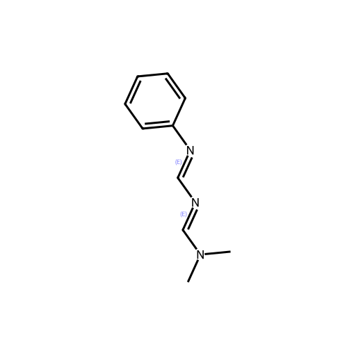 CN(C)/C=N/C=N/c1ccccc1